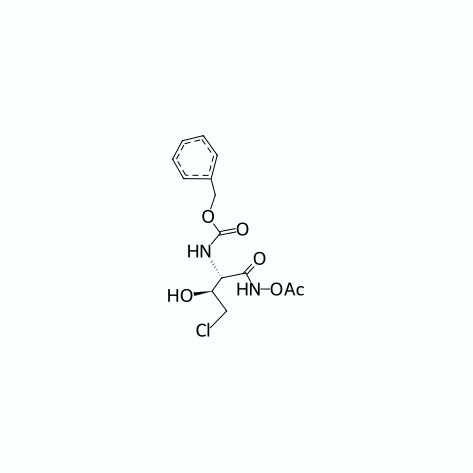 CC(=O)ONC(=O)[C@@H](NC(=O)OCc1ccccc1)[C@H](O)CCl